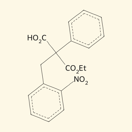 CCOC(=O)C(Cc1ccccc1[N+](=O)[O-])(C(=O)O)c1ccccc1